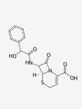 O=C(O)C1=CCS[C@H]2C(NC(=O)C(O)c3ccccc3)C(=O)N12